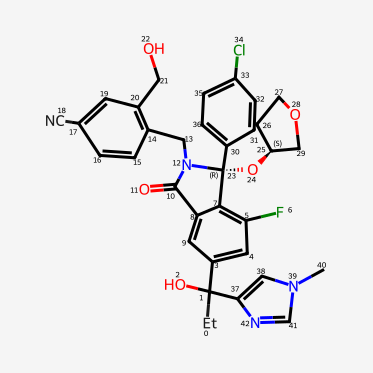 CCC(O)(c1cc(F)c2c(c1)C(=O)N(Cc1ccc(C#N)cc1CO)[C@@]2(O[C@H]1CCOC1)c1ccc(Cl)cc1)c1cn(C)cn1